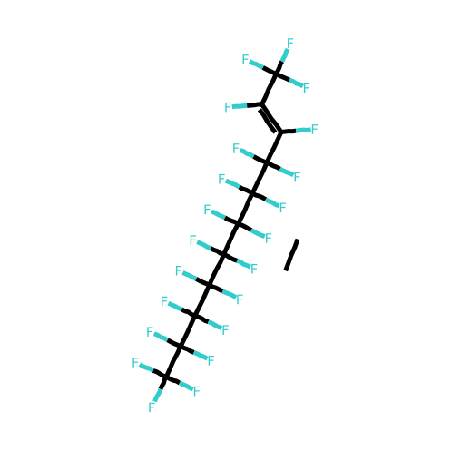 CC.FC(=C(F)C(F)(F)C(F)(F)C(F)(F)C(F)(F)C(F)(F)C(F)(F)C(F)(F)C(F)(F)F)C(F)(F)F